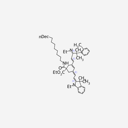 CCCCCCCCCCCCCCCCCCNC(=O)C1(C(=O)OCC)CC(/C=C/C(=N\CC)C(C)(C)c2ccccc2C)=CC(=C/C=C2/N(CC)c3ccccc3C2(C)C)/C1